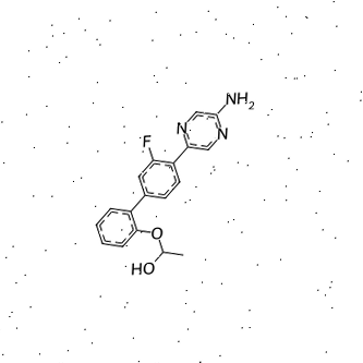 CC(O)Oc1ccccc1-c1ccc(-c2cnc(N)cn2)c(F)c1